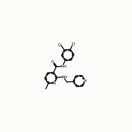 Cc1ccc(C(=O)Nc2ccc(Cl)c(Cl)c2)c(NCc2ccncc2)n1